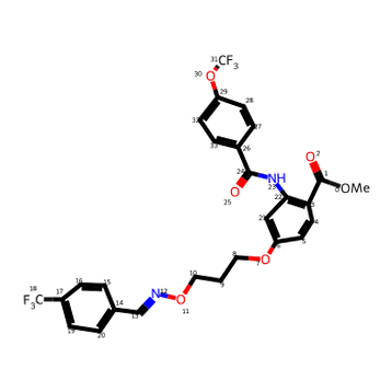 COC(=O)c1ccc(OCCCON=Cc2ccc(C(F)(F)F)cc2)cc1NC(=O)c1ccc(OC(F)(F)F)cc1